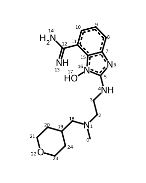 CN(CCNc1nc2cccc(C(=N)N)c2n1O)CC1CCOCC1